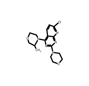 CC1COCCN1c1nc(N2CCOCC2)nc2nc(Cl)ccc12